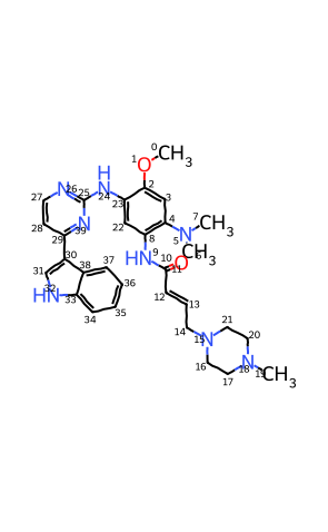 COc1cc(N(C)C)c(NC(=O)/C=C/CN2CCN(C)CC2)cc1Nc1nccc(-c2c[nH]c3ccccc23)n1